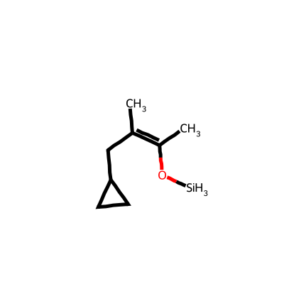 CC(CC1CC1)=C(C)O[SiH3]